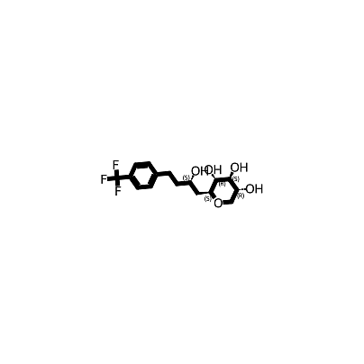 O[C@@H](CCc1ccc(C(F)(F)F)cc1)C[C@@H]1OC[C@@H](O)[C@H](O)[C@H]1O